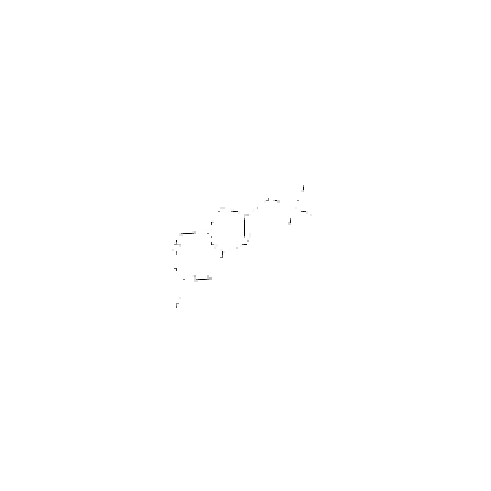 Cc1ccc2c(c1)N=C(CC(C)(C)C)C2